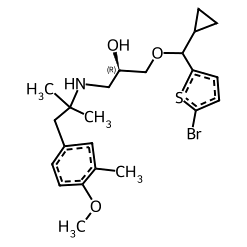 COc1ccc(CC(C)(C)NC[C@@H](O)COC(c2ccc(Br)s2)C2CC2)cc1C